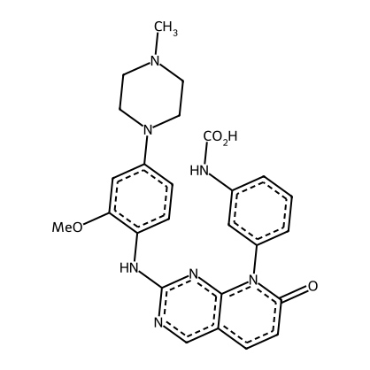 COc1cc(N2CCN(C)CC2)ccc1Nc1ncc2ccc(=O)n(-c3cccc(NC(=O)O)c3)c2n1